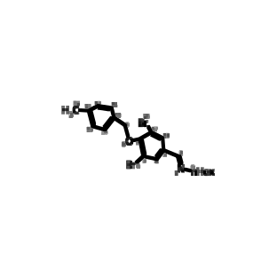 CCCCCCN=Cc1cc(Br)c(OCc2ccc(C)cc2)c(Br)c1